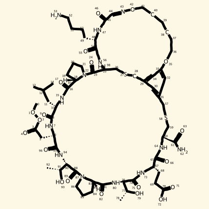 COOC(=O)C[C@@H]1NC(=O)[C@H](CC(C)C)NC(=O)[C@@H]2CCCN2C(=O)[C@@H]2CSCc3cc(cc(c3)OCCCCCCO/N=C/C(=O)N[C@@H](CCCCN)C(=O)N2)CSC[C@@H](C(N)=O)NC(=O)[C@H](CCC(=O)O)NC(=O)[C@H]([C@@H](C)O)NC(=O)[C@@H]2CCCN2C(=O)[C@H]([C@@H](C)O)NC1=O